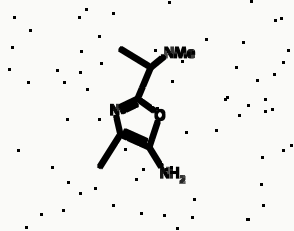 CNC(C)c1nc(C)c(N)o1